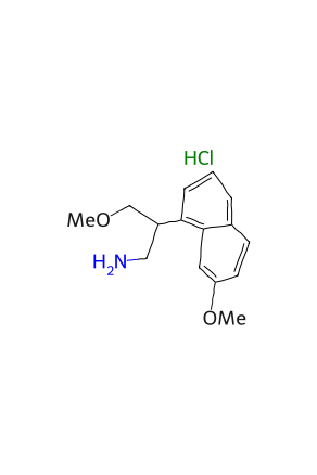 COCC(CN)c1cccc2ccc(OC)cc12.Cl